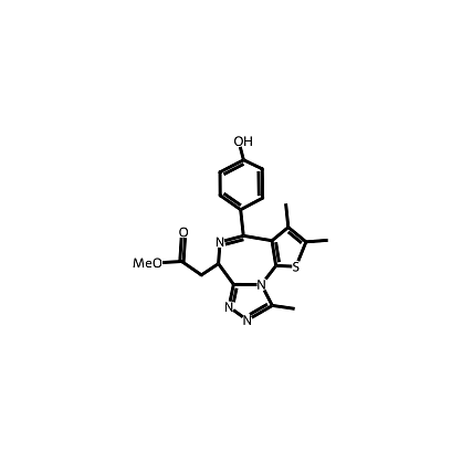 COC(=O)CC1N=C(c2ccc(O)cc2)c2c(sc(C)c2C)-n2c(C)nnc21